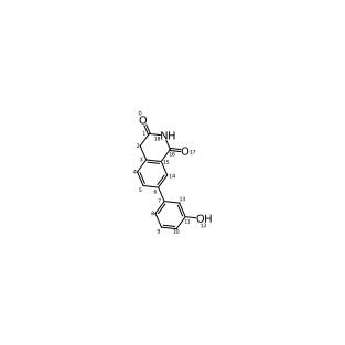 O=C1Cc2ccc(-c3cccc(O)c3)cc2C(=O)N1